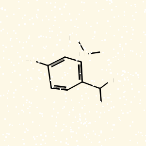 CC(C)c1ccc(O)cc1.OBO